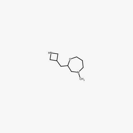 CN1CCCOC(CC2CNC2)C1